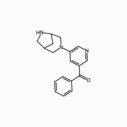 O=C(c1ccccc1)c1cncc(N2CC3CNC(C3)C2)c1